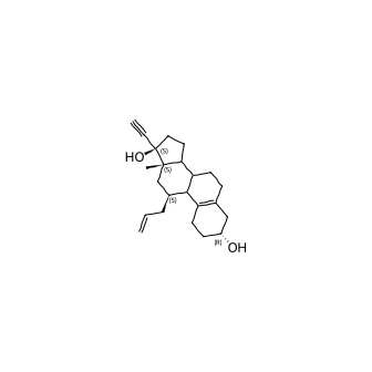 C#C[C@]1(O)CCC2C3CCC4=C(CC[C@@H](O)C4)C3[C@@H](CC=C)C[C@@]21C